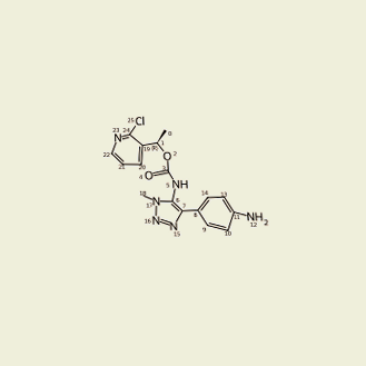 C[C@@H](OC(=O)Nc1c(-c2ccc(N)cc2)nnn1C)c1cccnc1Cl